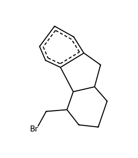 BrCC1CCCC2Cc3ccccc3C12